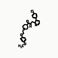 COc1ccc(OCCN2CCC(C(=O)NCc3ncccc3-c3ccc(Cl)cc3)CC2)cc1